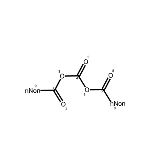 CCCCCCCCCC(=O)OC(=O)OC(=O)CCCCCCCCC